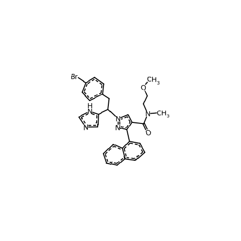 COCCN(C)C(=O)c1cn(C(Cc2ccc(Br)cc2)c2cnc[nH]2)nc1-c1cccc2ccccc12